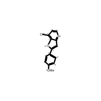 COc1ccc(-c2cc3nccc(Cl)c3o2)cc1